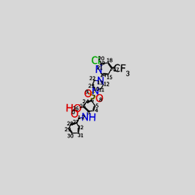 O=C(Nc1ccc(S(=O)(=O)N2CCN(c3cc(C(F)(F)F)cc(Cl)n3)CC2)cc1O)c1ccccc1